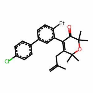 C=C(C)CC1=C(c2cc(-c3ccc(Cl)cc3)ccc2CC)C(=O)C(C)(C)OC1(C)C